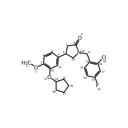 COc1ccc(C2CC(=O)N(Cc3ccc(F)cc3Cl)C2)cc1OC1CCCC1